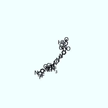 CC(C)(C(=O)Nc1ccc(C#N)c(C(F)(F)F)c1)n1cc(N2CCN(C3CN(c4ccc5c(c4)C(=O)N(C4CCC(=O)NC4=O)C5=O)C3)CC2)cn1